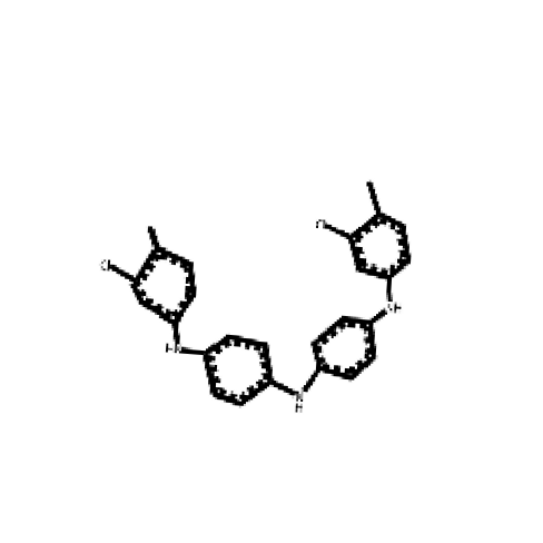 Cc1ccc(Nc2ccc(Nc3ccc(Nc4ccc(C)c(Cl)c4)cc3)cc2)cc1Cl